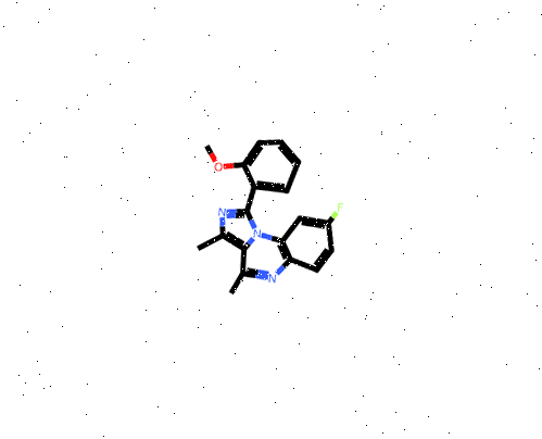 COc1ccccc1-c1nc(C)c2c(C)nc3ccc(F)cc3n12